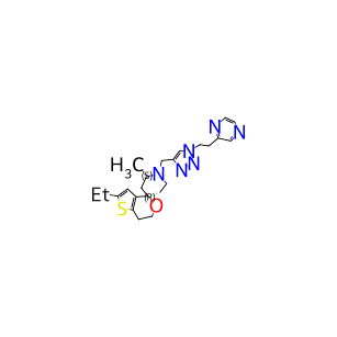 CCc1cc2c(s1)CCO[C@@]21CCN(Cc2cn(CCc3cnccn3)nn2)[C@@H](C)C1